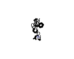 C=C/N=C(\C=C(C)C)O[C@@H]1CC[C@@H](CO)N(C(=O)c2ccccc2-n2nccn2)C1